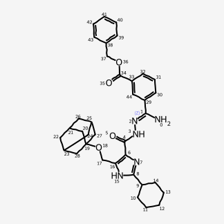 N/C(=N\NC(=O)c1nc(C2CCCCC2)[nH]c1COC12CC3CC(CC(C3)C1)C2)c1cccc(C(=O)OCc2ccccc2)c1